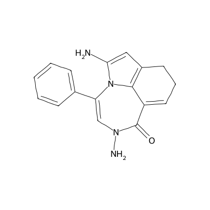 Nc1cc2c3n1C(c1ccccc1)=CN(N)C(=O)C3=CCC2